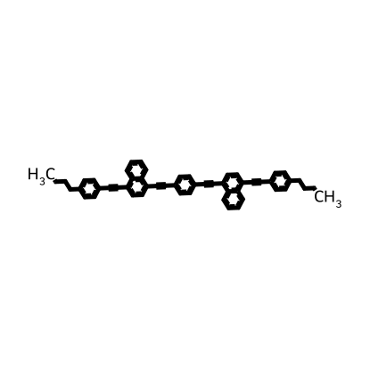 CCCCc1ccc(C#Cc2ccc(C#Cc3ccc(C#Cc4ccc(C#Cc5ccc(CCCC)cc5)c5ccccc45)cc3)c3ccccc23)cc1